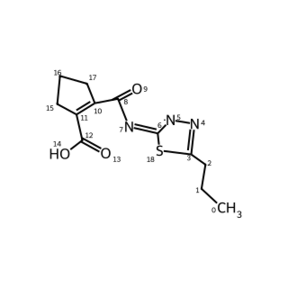 CCCC1=N[N]C(=NC(=O)C2=C(C(=O)O)CCC2)S1